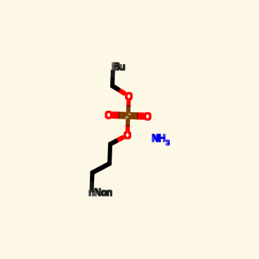 CCCCCCCCCCCCOS(=O)(=O)OCC(C)CC.N